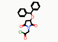 O=C(Cl)CN1C(=O)CC(OC(c2ccccc2)c2ccccc2)C1=O